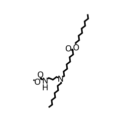 CCCCCCCCCOC(=O)CCCCCCCN(CCCCCCCC)CCCNC(=O)OC